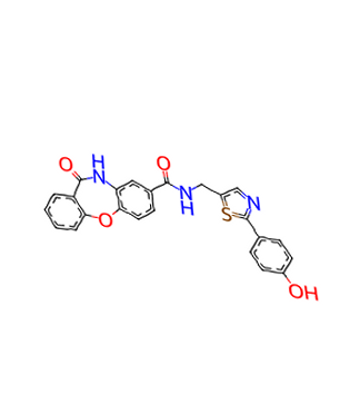 O=C(NCc1cnc(-c2ccc(O)cc2)s1)c1ccc2c(c1)NC(=O)c1ccccc1O2